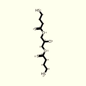 S=C(CCCS)OCC(Cl)COC(=S)CCCS